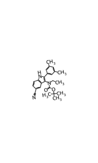 CCN(C(=O)OC(C)(C)C)c1c(-c2cc(C)cc(C)c2)[nH]c2ccc(C#N)cc12